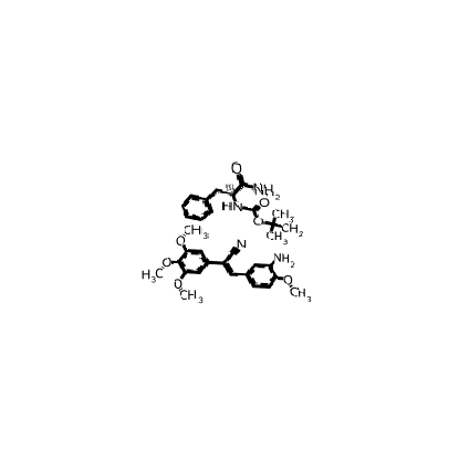 CC(C)(C)OC(=O)N[C@@H](Cc1ccccc1)C(N)=O.COc1ccc(C=C(C#N)c2cc(OC)c(OC)c(OC)c2)cc1N